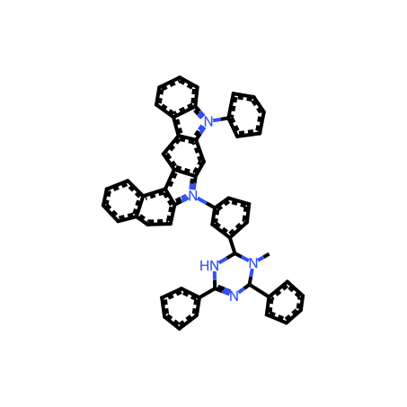 CN1C(c2ccccc2)N=C(c2ccccc2)NC1c1cccc(-n2c3cc4c(cc3c3c5ccccc5ccc32)c2ccccc2n4-c2ccccc2)c1